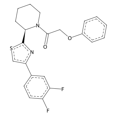 O=C(COc1ccccc1)N1CCCC[C@@H]1c1nc(-c2ccc(F)c(F)c2)cs1